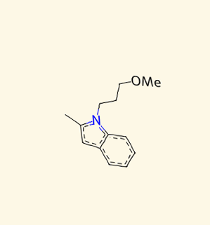 COCCCn1c(C)cc2ccccc21